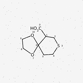 O=C(O)C1CSCCC12OCCO2